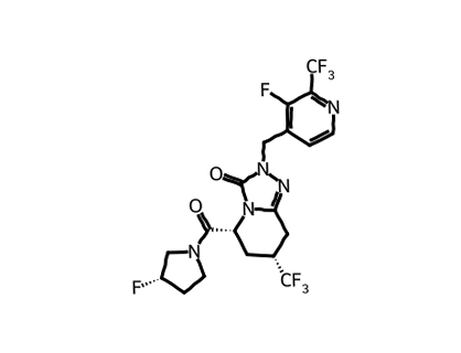 O=C([C@H]1C[C@@H](C(F)(F)F)Cc2nn(Cc3ccnc(C(F)(F)F)c3F)c(=O)n21)N1CC[C@H](F)C1